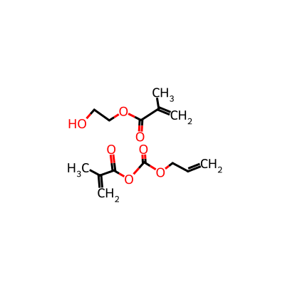 C=C(C)C(=O)OCCO.C=CCOC(=O)OC(=O)C(=C)C